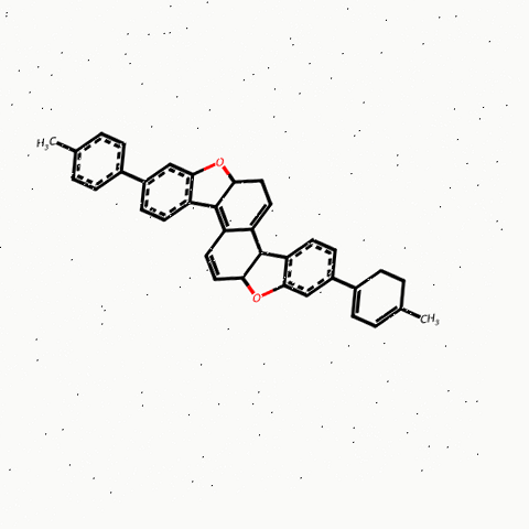 CC1=CC=C(c2ccc3c(c2)OC2C=CC4=C5c6ccc(-c7ccc(C)cc7)cc6OC5CC=C4C32)CC1